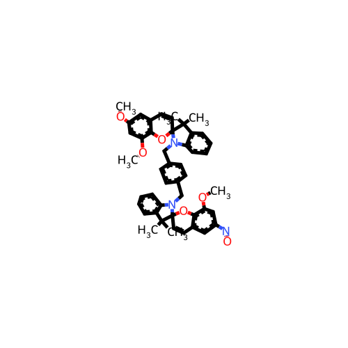 COc1cc2c(c(OC)c1)OC1(C=C2)N(Cc2ccc(CN3c4ccccc4C(C)(C)C34C=Cc3cc(N=O)cc(OC)c3O4)cc2)c2ccccc2C1(C)C